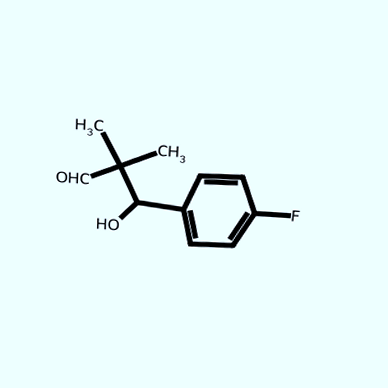 CC(C)(C=O)C(O)c1ccc(F)cc1